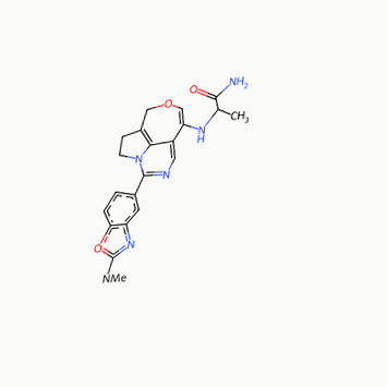 CNc1nc2cc(C3=NC=C4C(NC(C)C(N)=O)=COCC5=C4N3CC5)ccc2o1